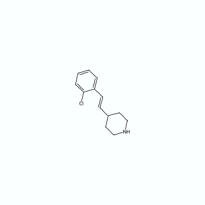 Clc1ccccc1C=CC1CCNCC1